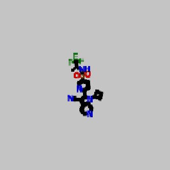 C[C@H](NS(=O)(=O)c1ccc(-c2c(C#N)c3ccncc3n2C2CCC2)nc1)C(F)(F)F